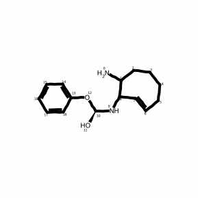 NC1CCCC/C=C/C1N[C@@H](O)Oc1ccccc1